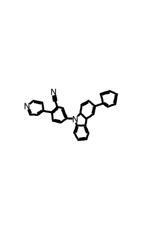 N#Cc1cc(N2c3ccccc3C3C=C(c4ccccc4)C=CC32)ccc1-c1ccncc1